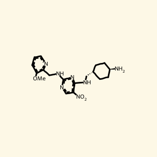 COc1cccnc1CNc1ncc([N+](=O)[O-])c(NC[C@H]2CC[C@H](N)CC2)n1